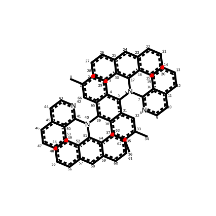 Cc1ccc2c(N(c3nccc4ccccc34)c3c4ccccc4cc4ccccc34)c3cc(C)c(C)cc3c(N(c3nccc4ccccc34)c3c4ccccc4cc4ccccc34)c2c1